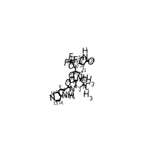 CC(C)C[C@H](NC(=O)c1cc2cnccc2[nH]1)C(=O)N[C@@H](C[C@@H]1CCNC1=O)C(=O)COC(F)(F)F